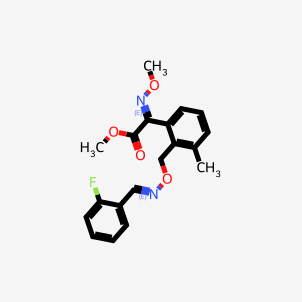 CO/N=C(/C(=O)OC)c1cccc(C)c1CO/N=C/c1ccccc1F